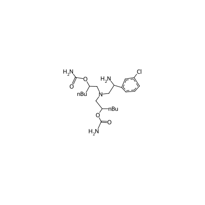 CCCCC(CN(CC(CCCC)OC(N)=O)CC(N)c1cccc(Cl)c1)OC(N)=O